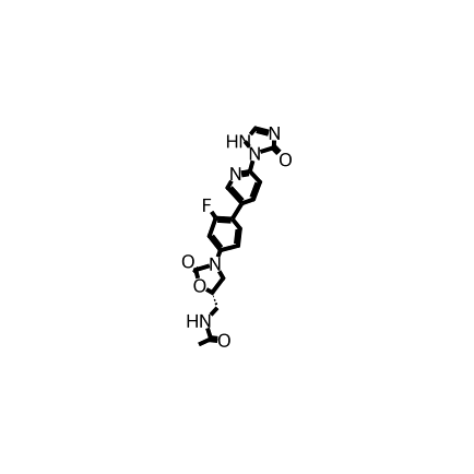 CC(=O)NC[C@H]1CN(c2ccc(-c3ccc(-n4[nH]cnc4=O)nc3)c(F)c2)C(=O)O1